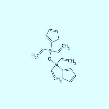 C=C[Si](C=C)(O[Si](C=C)(C=C)C1=CC=CC1)C1=CC=CC1